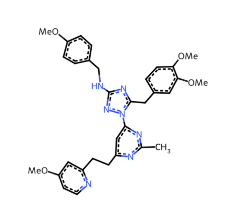 COc1ccc(CNc2nc(Cc3ccc(OC)c(OC)c3)n(-c3cc(CCc4cc(OC)ccn4)nc(C)n3)n2)cc1